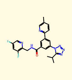 Cc1ccc(-c2cc(C(=O)NCc3ncc(F)cc3F)cc(-n3nnnc3C(C)C)c2)nc1